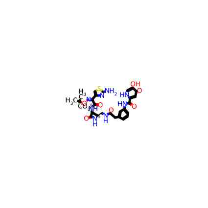 CC(C)(O/N=C(\C(=O)N[C@@H]1C(=O)N[C@@H]1CNC(=O)Cc1cccc(NC(=O)c2cc(=O)c(O)c[nH]2)c1)c1csc(N)n1)C(=O)O